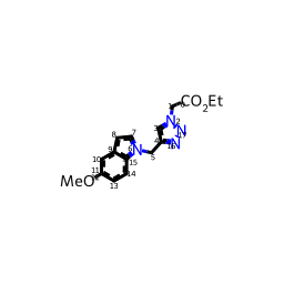 CCOC(=O)Cn1cc(Cn2ccc3cc(OC)ccc32)nn1